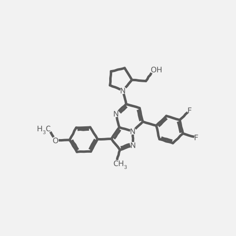 COc1ccc(-c2c(C)nn3c(-c4ccc(F)c(F)c4)cc(N4CCCC4CO)nc23)cc1